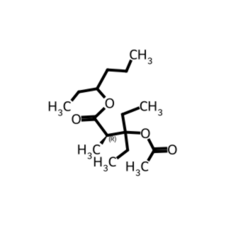 CCCC(CC)OC(=O)[C@H](C)C(CC)(CC)OC(C)=O